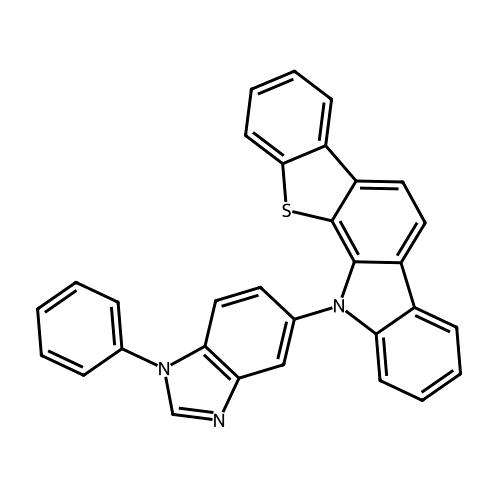 c1ccc(-n2cnc3cc(-n4c5ccccc5c5ccc6c7ccccc7sc6c54)ccc32)cc1